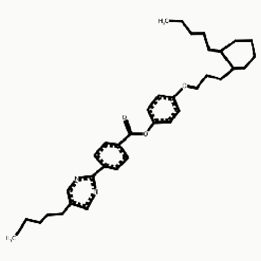 CCCCCc1cnc(-c2ccc(C(=O)Oc3ccc(OCCCC4CCCCC4CCCCC)cc3)cc2)nc1